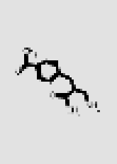 CC(=O)c1ccc(CC(CN)C(C)=O)cc1